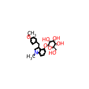 COc1ccc(Cc2cn(C)c3cccc(O[C@@H]4O[C@H](CO)[C@@H](O)[C@H](O)[C@H]4O)c23)cc1